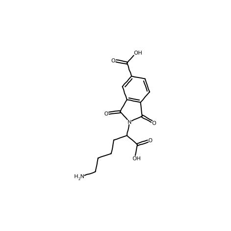 NCCCCC(C(=O)O)N1C(=O)c2ccc(C(=O)O)cc2C1=O